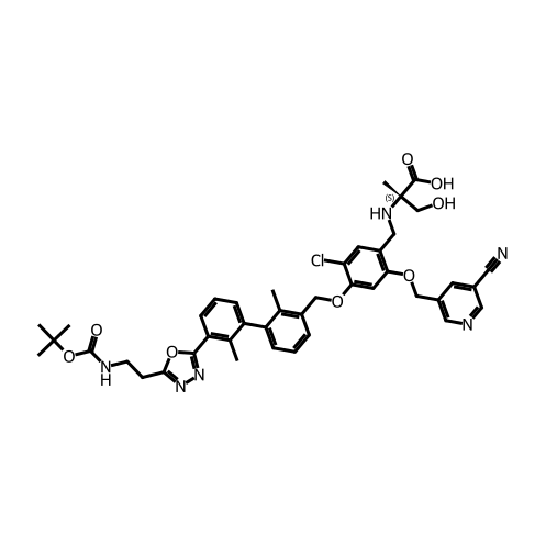 Cc1c(COc2cc(OCc3cncc(C#N)c3)c(CN[C@@](C)(CO)C(=O)O)cc2Cl)cccc1-c1cccc(-c2nnc(CCNC(=O)OC(C)(C)C)o2)c1C